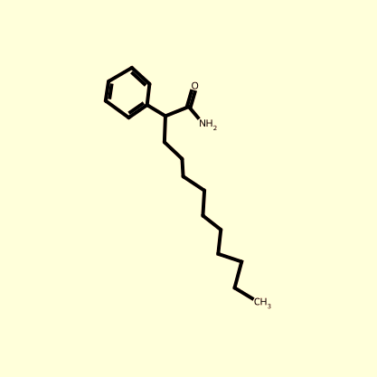 CCCCCCCCCCC(C(N)=O)c1ccccc1